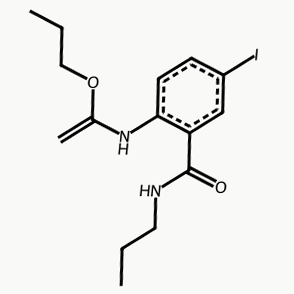 C=C(Nc1ccc(I)cc1C(=O)NCCC)OCCC